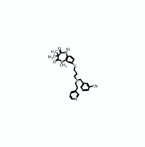 CCN1C(=O)C(C)(C)C(=O)N(C)c2cc(OCCCN(CCc3cccnc3)Cc3cccc(C#N)c3)ccc21